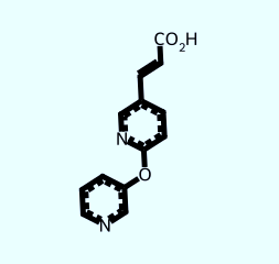 O=C(O)/C=C/c1ccc(Oc2cccnc2)nc1